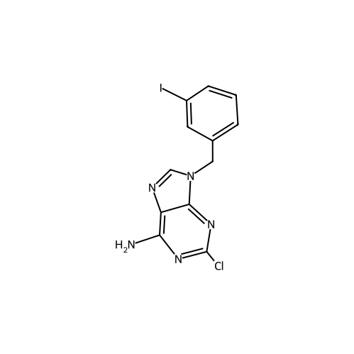 Nc1nc(Cl)nc2c1ncn2Cc1cccc(I)c1